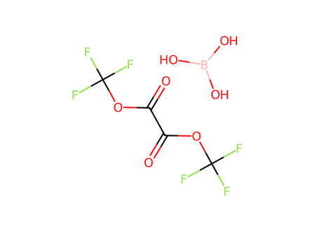 O=C(OC(F)(F)F)C(=O)OC(F)(F)F.OB(O)O